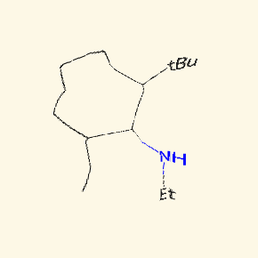 CCNC1C(C)CCCC1C(C)(C)C